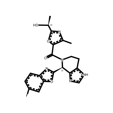 Cc1nc([C@H](C)O)oc1C(=O)N1CCc2[nH]cnc2[C@H]1c1nc2ccc(F)cc2o1